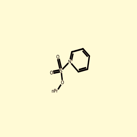 CCCOS(=O)(=O)[n+]1ccccc1